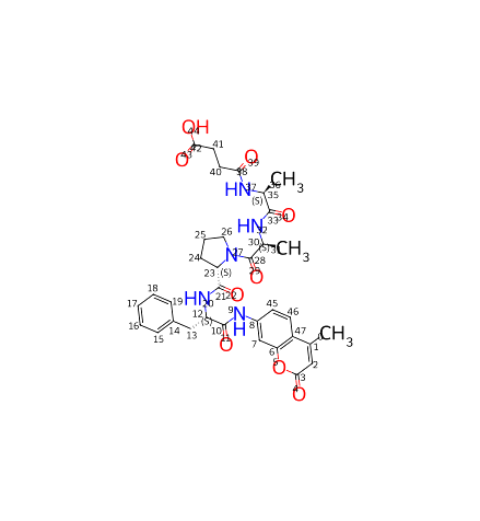 Cc1cc(=O)oc2cc(NC(=O)[C@H](Cc3ccccc3)NC(=O)[C@@H]3CCCN3C(=O)[C@H](C)NC(=O)[C@H](C)NC(=O)CCC(=O)O)ccc12